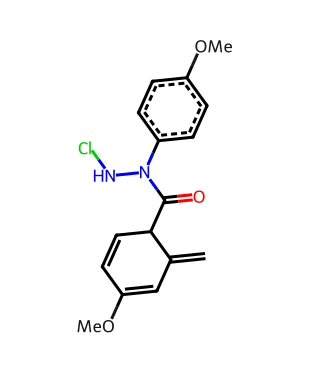 C=C1C=C(OC)C=CC1C(=O)N(NCl)c1ccc(OC)cc1